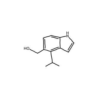 CC(C)c1c(CO)ccc2[nH]ccc12